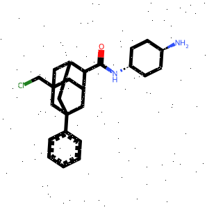 N[C@H]1CC[C@H](NC(=O)C2C3CC4(CCl)CC2CC(c2ccccc2)(C3)C4)CC1